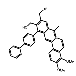 COc1ccc2c(cc[n+]3c(C)c4cc(CO)c(CO)c(-c5ccc(-c6ccccc6)cc5)c4cc23)c1OC